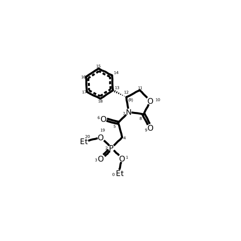 CCOP(=O)(CC(=O)N1C(=O)OC[C@H]1c1ccccc1)OCC